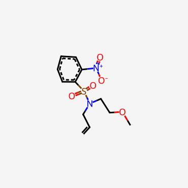 C=CCN(CCOC)S(=O)(=O)c1ccccc1[N+](=O)[O-]